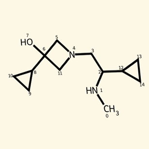 CNC(CN1CC(O)(C2CC2)C1)C1CC1